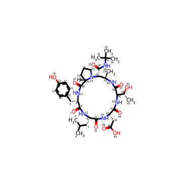 CC(C)C[C@@H]1NC(=O)[C@H](Cc2ccc(O)cc2)NC(=O)[C@@H]2CCCN2[C@H](C(=O)NC(C)(C)C)[C@@H](C)NC(=O)C([C@@H](C)O)NC(=O)[C@H](CC(=O)O)NC1=O